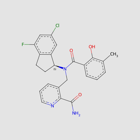 Cc1cccc(C(=O)N(Cc2cccnc2C(N)=O)[C@H]2CCc3c(F)cc(Cl)cc32)c1O